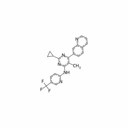 Cc1c(Nc2ccc(C(F)(F)F)cn2)nc(C2CC2)nc1-c1ccc2cccnc2c1